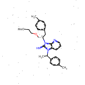 COCCOC[C@H](Cc1ccc(C)cc1)n1c(=N)n(C(C)c2ccc(C)cc2)c2cccnc21